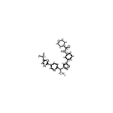 CC(c1ccc(-c2nnc(C(F)F)o2)cn1)n1cc(-c2cccc(NC(=O)N3CCOCC3)c2)nn1